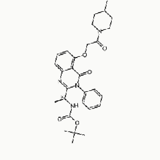 CC1CCN(C(=O)COc2cccc3nc([C@H](C)NC(=O)OC(C)(C)C)n(-c4ccccc4)c(=O)c23)CC1